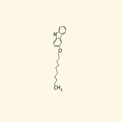 CCCCCCCCCCOc1ccc2c(c1)-c1ccccc1[N]2